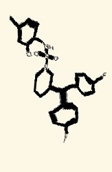 Cc1ccc(NS(=O)(=O)N2CCCC(C(c3ccc(F)cc3)c3ccc(F)cc3)C2)c(Cl)c1